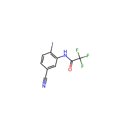 N#Cc1ccc(I)c(NC(=O)C(F)(F)F)c1